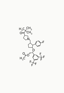 CC(=O)OC[C@@H](OC1CCC(CN2CCC(C(=O)C(C)(C)C)C2)C1c1ccc(F)cc1)c1cc(C(F)(F)F)cc(C(F)(F)F)c1